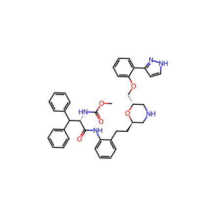 COC(=O)N[C@H](C(=O)Nc1ccccc1CC[C@@H]1CNC[C@@H](COc2ccccc2-c2cc[nH]n2)O1)C(c1ccccc1)c1ccccc1